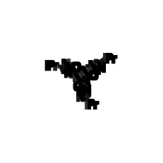 CC(C)c1cn(Cn2c(=O)n(Cn3cc(C(C)C)nn3)c(=O)n(Cn3cc(C(C)C)nn3)c2=O)nn1